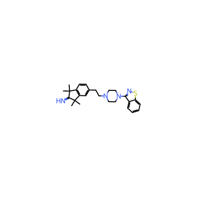 CC1(C)C(=N)C(C)(C)c2cc(CCN3CCN(c4nsc5ccccc45)CC3)ccc21